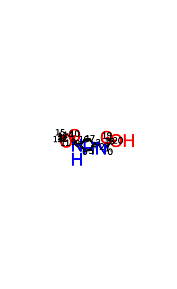 C[C@H](NCC1CCC(NC(=O)OC(C)(C)C)CC1)C(=O)O